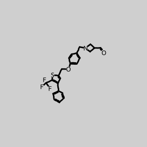 O=CC1CN(Cc2ccc(OCc3cc(-c4ccccc4)c(C(F)(F)F)s3)cc2)C1